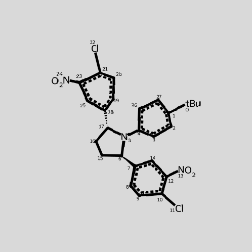 CC(C)(C)c1ccc(N2[C@@H](c3ccc(Cl)c([N+](=O)[O-])c3)CC[C@@H]2c2ccc(Cl)c([N+](=O)[O-])c2)cc1